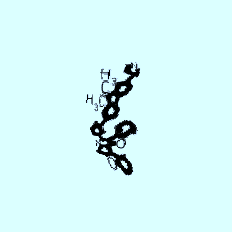 CC1(C)c2cc(-c3ccncc3)ccc2-c2ccc(-c3cccc(-c4nc5ccc6oc7ccccc7c6c5c5oc6ccccc6c45)c3)cc21